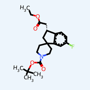 CCOC(=O)C[C@H]1CC2(CCN(C(=O)OC(C)(C)C)CC2)c2cc(F)ccc21